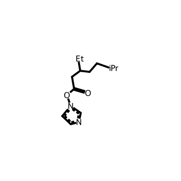 CCC(CCC(C)C)CC(=O)On1ccnc1